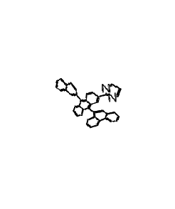 c1cnc(-c2ccc3c(-c4ccc5ccccc5c4)c4ccccc4c(-c4cc5ccccc5c5ccccc45)c3c2)nc1